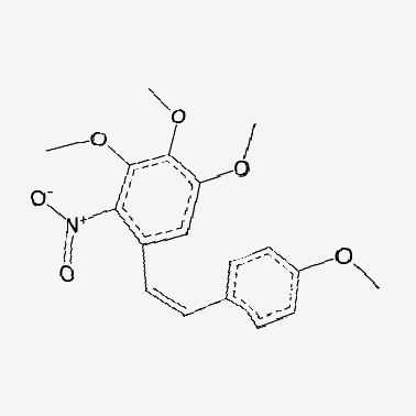 COc1ccc(/C=C\c2cc(OC)c(OC)c(OC)c2[N+](=O)[O-])cc1